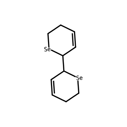 C1=CC(C2C=CCC[Se]2)[Se]CC1